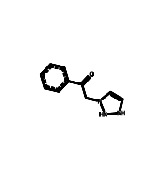 O=C(CN1C=CNN1)c1ccccc1